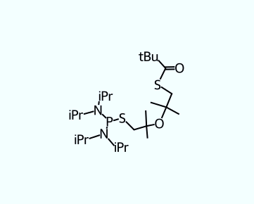 CC(C)N(C(C)C)P(SCC(C)(C)OC(C)(C)CSC(=O)C(C)(C)C)N(C(C)C)C(C)C